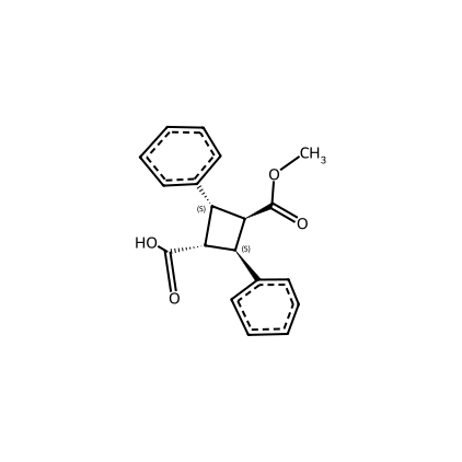 COC(=O)[C@H]1[C@@H](c2ccccc2)[C@H](C(=O)O)[C@@H]1c1ccccc1